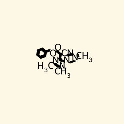 Cc1nc(C(C#N)C(=O)OCc2ccccc2)c(N2CCN(C)CC2)nc1C